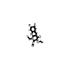 CCOC1C(=O)c2cc3cc(F)c(F)cc3nc2N(CC)C1=C=O